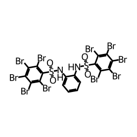 O=S(=O)(Nc1ccccc1NS(=O)(=O)c1c(Br)c(Br)c(Br)c(Br)c1Br)c1c(Br)c(Br)c(Br)c(Br)c1Br